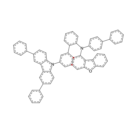 c1ccc(-c2ccc(N(c3ccccc3-c3cccc(-n4c5ccc(-c6ccccc6)cc5c5cc(-c6ccccc6)ccc54)c3)c3cccc4oc5ccccc5c34)cc2)cc1